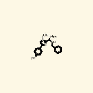 CCCCCC[C@@H](NCc1ccccc1)c1nc(-c2ccc(C#N)cc2)c[nH]1.Cl